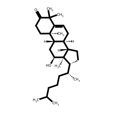 CC(C)CCC[C@@H](C)[C@H]1CC[C@H]2[C@@H]3CC=C4C(C)(C)C(=O)CC[C@]4(C)[C@H]3C[C@H](O)[C@]12C